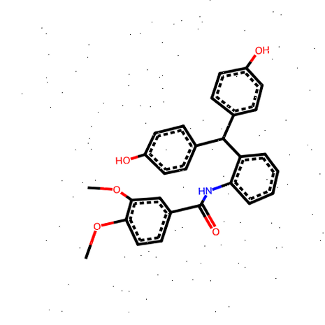 COc1ccc(C(=O)Nc2ccccc2C(c2ccc(O)cc2)c2ccc(O)cc2)cc1OC